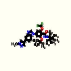 BC(B)(B)Oc1cc(-n2cnc3cc(-c4cnn(C)c4)ccc32)cc(OC(F)F)c1C(=O)NC1(B)C(B)(B)C1(B)B